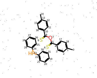 Cc1ccc(C(=S)OC(=S)c2ccc(C)cc2)cc1.c1ccc(Pc2ccccc2)cc1